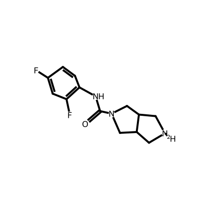 [2H]N1CC2CN(C(=O)Nc3ccc(F)cc3F)CC2C1